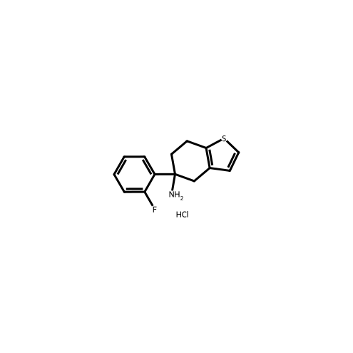 Cl.NC1(c2ccccc2F)CCc2sccc2C1